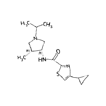 CC(C)N1C[C@@H](C)[C@@H](NC(=O)c2nc(C3CC3)cs2)C1